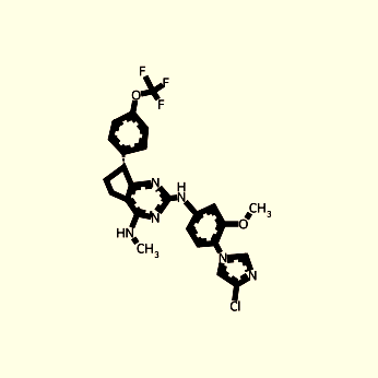 CNc1nc(Nc2ccc(-n3cnc(Cl)c3)c(OC)c2)nc2c1CC[C@@H]2c1ccc(OC(F)(F)F)cc1